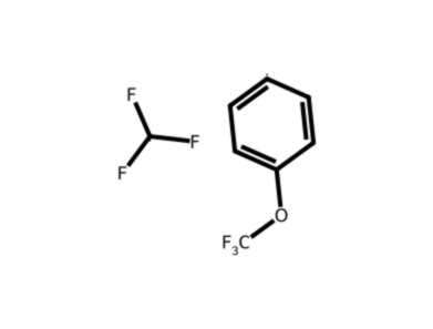 FC(F)(F)Oc1cc[c]cc1.F[C](F)F